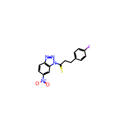 O=[N+]([O-])c1ccc2nnn(C(=S)CCc3ccc(I)cc3)c2c1